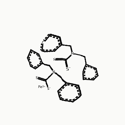 S=C([S-])N(Cc1ccccc1)Cc1ccccc1.S=C([S-])N(Cc1ccccc1)Cc1ccccc1.[Fe+2]